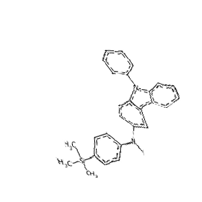 C[Si](C)(C)c1ccc(N(I)c2ccc3c(c2)c2ccccc2n3-c2ccccc2)cc1